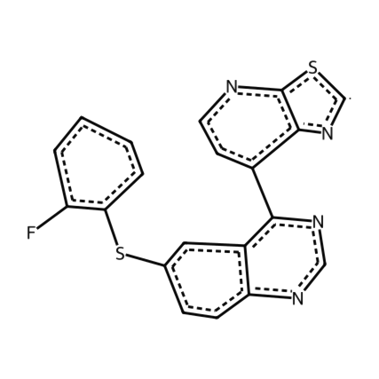 Fc1ccccc1Sc1ccc2ncnc(-c3ccnc4s[c]nc34)c2c1